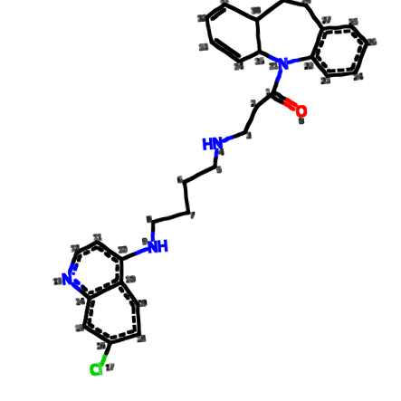 O=C(CCNCCCCNc1ccnc2cc(Cl)ccc12)N1c2ccccc2CCC2C=CC=CC21